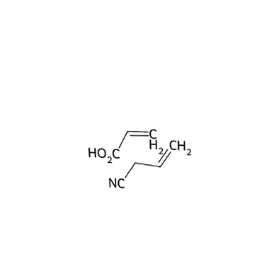 C=CC(=O)O.C=CCC#N